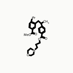 COC(=O)c1ccc(C(C)C)c(CC(C)c2ccc(C(=O)OCCCN3CCOCC3)cc2)c1